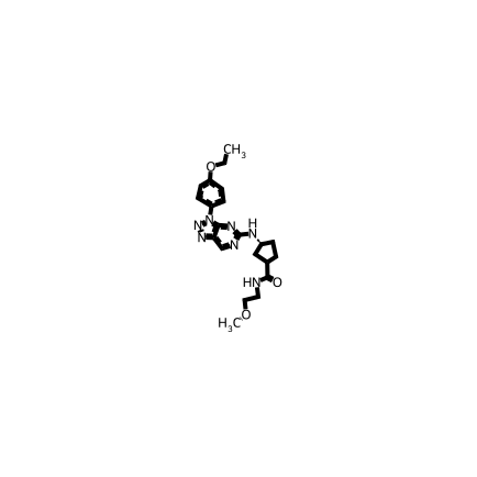 CCOc1ccc(-n2nnc3cnc(N[C@@H]4CCC(C(=O)NCCOC)C4)nc32)cc1